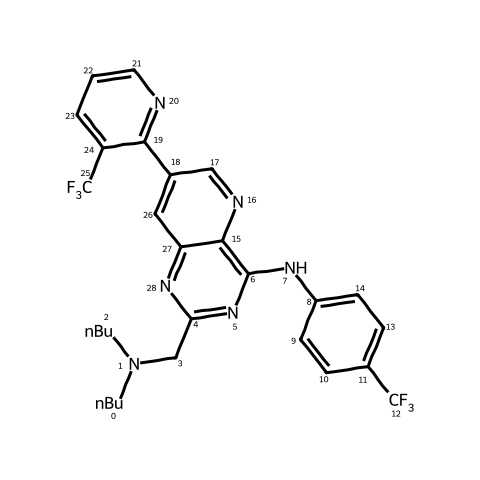 CCCCN(CCCC)Cc1nc(Nc2ccc(C(F)(F)F)cc2)c2ncc(-c3ncccc3C(F)(F)F)cc2n1